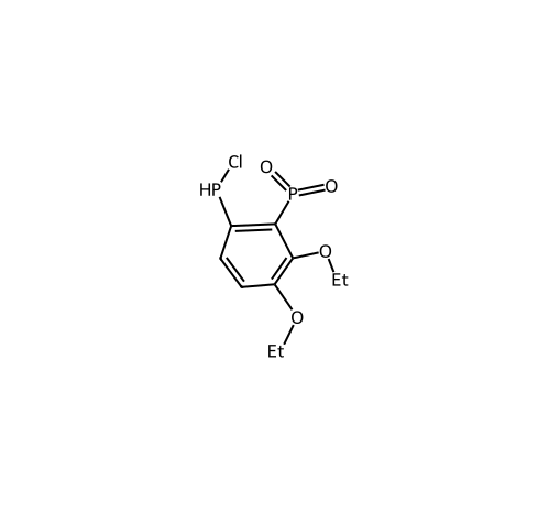 CCOc1ccc(PCl)c(P(=O)=O)c1OCC